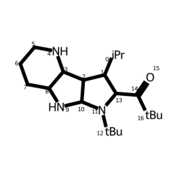 CC(C)C1C2C3NCCCC3NC2N(C(C)(C)C)C1C(=O)C(C)(C)C